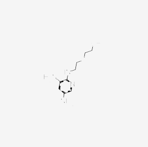 CCCOCCNc1ncc(N)cc1N